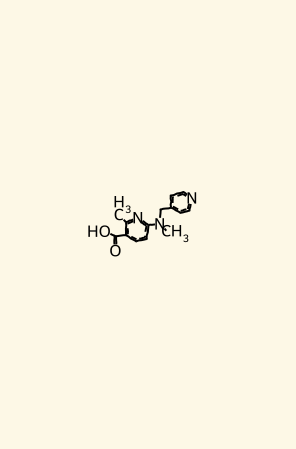 Cc1nc(N(C)Cc2ccncc2)ccc1C(=O)O